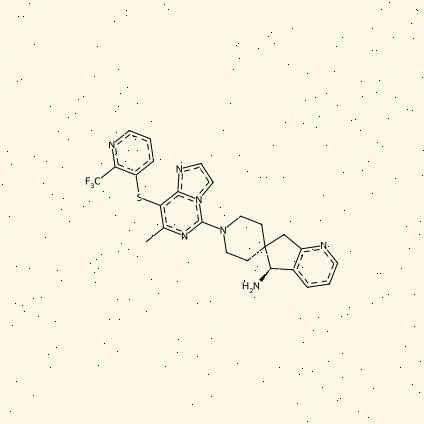 Cc1nc(N2CCC3(CC2)Cc2ncccc2[C@H]3N)n2ccnc2c1Sc1cccnc1C(F)(F)F